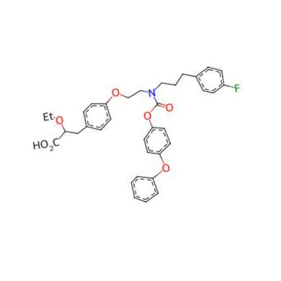 CCOC(Cc1ccc(OCCN(CCCc2ccc(F)cc2)C(=O)Oc2ccc(Oc3ccccc3)cc2)cc1)C(=O)O